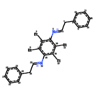 CCc1c(CC)c(/N=C/Cc2ccccc2)c(CC)c(CC)c1/N=C/Cc1ccccc1